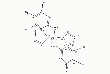 Fc1cc([O][Zr]([O]c2cc(F)c(F)c(F)c2)([CH]2C=CC=C2)[CH]2C=CC=C2)cc(F)c1F